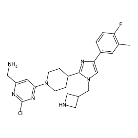 Cc1cc(-c2cn(CC3CNC3)c(C3CCN(c4cc(CN)nc(Cl)n4)CC3)n2)ccc1F